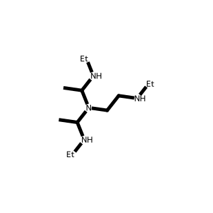 CCNCCN(C(C)NCC)C(C)NCC